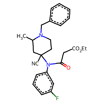 CCOC(=O)CC(=O)N(c1cccc(F)c1)C1(C#N)CCN(Cc2ccccc2)C(C)C1